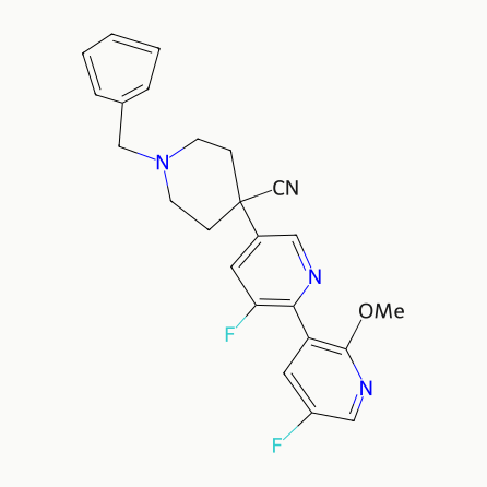 COc1ncc(F)cc1-c1ncc(C2(C#N)CCN(Cc3ccccc3)CC2)cc1F